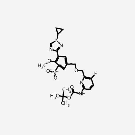 COc1c(-c2ncn(C3CC3)n2)cc(COCc2nc(NC(=O)OC(C)(C)C)ccc2F)cc1[N+](=O)[O-]